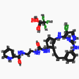 O=C(NCCNC(=O)c1ccccn1)Nc1ccc2cc1CCc1cccc(c1)Nc1ncc(Cl)c(n1)N2.O=C(O)C(F)(F)F